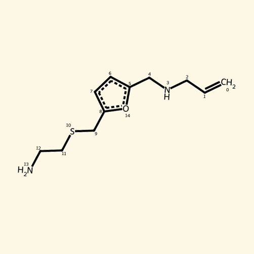 C=CCNCc1ccc(CSCCN)o1